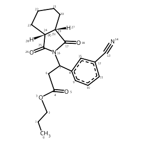 CCCOC(=O)CC(c1cccc(C#N)c1)N1C(=O)[C@H]2CCCC[C@H]2C1=O